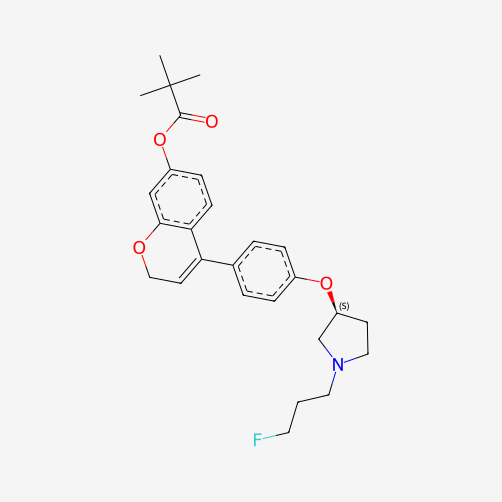 CC(C)(C)C(=O)Oc1ccc2c(c1)OCC=C2c1ccc(O[C@H]2CCN(CCCF)C2)cc1